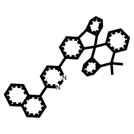 CC1(C)c2ccccc2C2(c3ccccc3-c3ccc(-c4ccc(-c5cccc6ccccc56)nn4)cc32)c2ccccc21